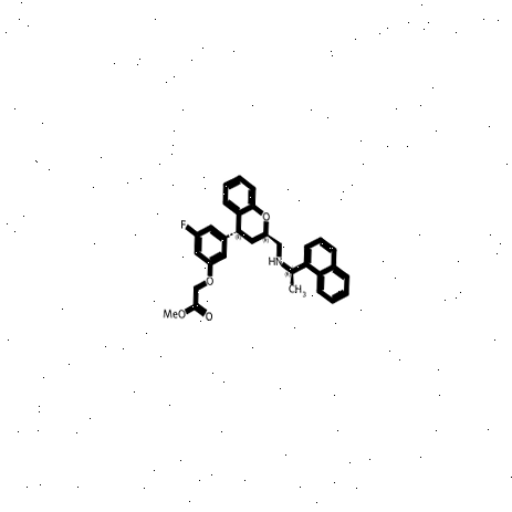 COC(=O)COc1cc(F)cc([C@H]2C[C@H](CN[C@H](C)c3cccc4ccccc34)Oc3ccccc32)c1